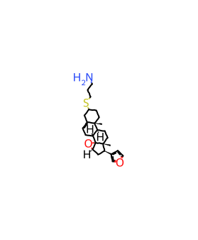 C[C@]12CC[C@H](SCCCN)CC1=CC[C@@H]1[C@@H]2CC[C@]2(C)[C@@H](c3ccoc3)C[C@H]3O[C@]132